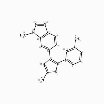 Cc1cccc(-c2sc(N)nc2-c2ccc3nnn(C)c3c2)n1